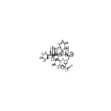 C=C(C)C(=O)OCC(NC=O)N(c1ccccc1)C(NC(=O)Nc1ccccc1)c1ccccc1